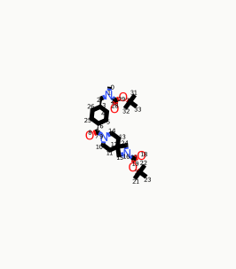 CN(C[C@H]1CC[C@H](C(=O)N2CCC3(CC2)CN(C(=O)OC(C)(C)C)C3)CC1)C(=O)OC(C)(C)C